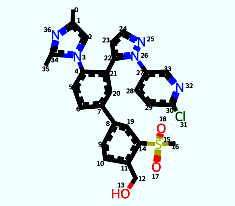 Cc1cn(-c2ccc(-c3ccc(CO)c(S(C)(=O)=O)c3)cc2-c2ccnn2-c2ccc(Cl)nc2)c(C)n1